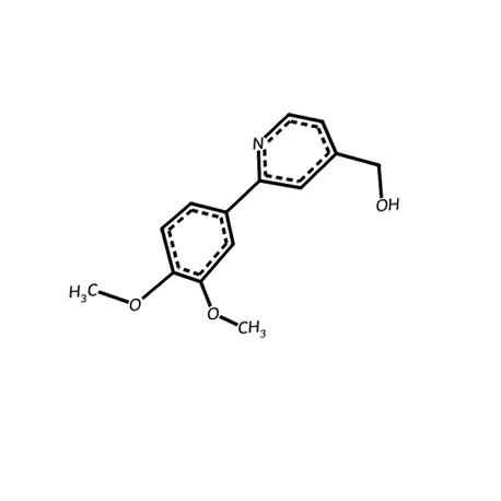 COc1ccc(-c2cc(CO)ccn2)cc1OC